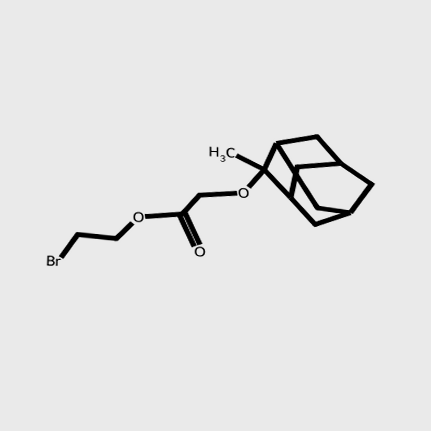 CC1(OCC(=O)OCCBr)C2CC3CC(C2)CC1C3